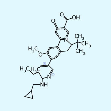 C/C=C(\C=N/C(CCC)NCC1CC1)c1cc2c(cc1OC)-c1cc(=O)c(C(=O)O)cn1C(C(C)(C)C)C2